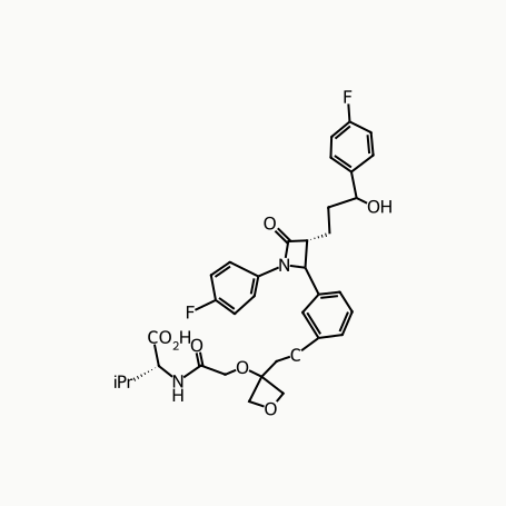 CC(C)[C@@H](NC(=O)COC1(CCc2cccc(C3[C@@H](CCC(O)c4ccc(F)cc4)C(=O)N3c3ccc(F)cc3)c2)COC1)C(=O)O